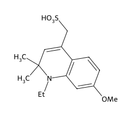 CCN1c2cc(OC)ccc2C(CS(=O)(=O)O)=CC1(C)C